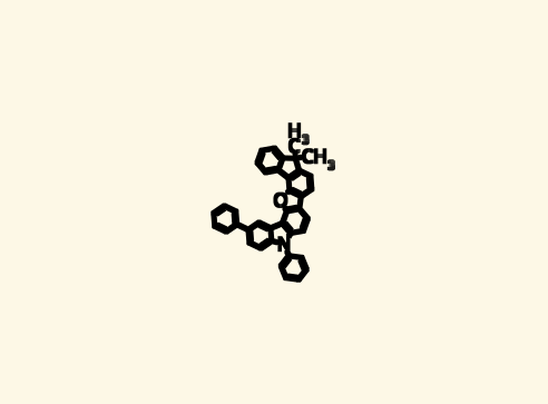 CC1(C)c2ccccc2-c2c1ccc1c2oc2c1ccc1c2c2cc(-c3ccccc3)ccc2n1-c1ccccc1